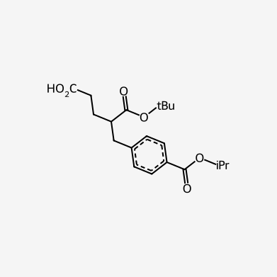 CC(C)OC(=O)c1ccc(CC(CCC(=O)O)C(=O)OC(C)(C)C)cc1